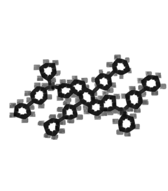 c1ccc(-c2ccc(-c3c4ccc5cc(N(c6ccccc6)c6ccc(-c7ccccc7)cc6)ccc5c4c(-c4ccc(-c5ccccc5)cc4)c4ccc5cc(N(c6ccccc6)c6ccc(-c7ccccc7)cc6)ccc5c34)cc2)cc1